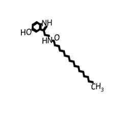 CCCCCCCCCCCCCCCCCC(=O)NCCc1c[nH]c2ccc(O)cc12